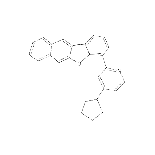 c1ccc2cc3c(cc2c1)oc1c(-c2cc(C4CCCC4)ccn2)cccc13